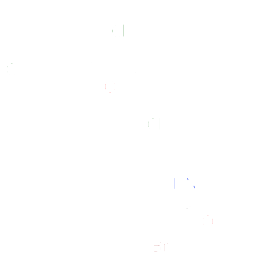 CC(Cc1cc(Cl)c(OCCCCl)c(Cl)c1)c1ccc(CNC(=O)CBr)cc1